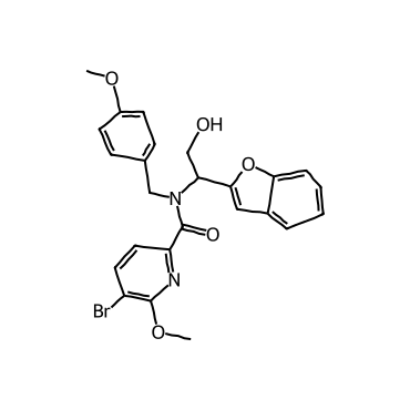 COc1ccc(CN(C(=O)c2ccc(Br)c(OC)n2)C(CO)c2cc3ccccc3o2)cc1